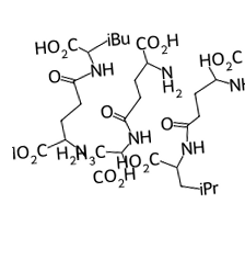 CC(C)CC(NC(=O)CCC(N)C(=O)O)C(=O)O.CC(NC(=O)CCC(N)C(=O)O)C(=O)O.CCC(C)C(NC(=O)CCC(N)C(=O)O)C(=O)O